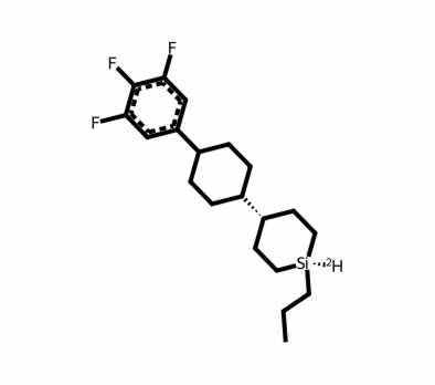 [2H][Si@]1(CCC)CC[C@H](C2CCC(c3cc(F)c(F)c(F)c3)CC2)CC1